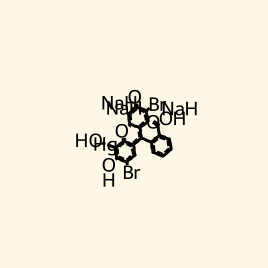 O=C(O)c1ccccc1-c1c2cc(Br)c(=O)cc-2oc2[c]([Hg][OH])c(O)c(Br)cc12.[NaH].[NaH].[NaH]